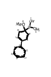 COC1(B(O)O)C=CC(c2ccccc2)=CC1